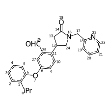 CC(C)c1ccccc1Oc1ccc(C2CC(=O)N(Cc3ccccn3)C2)c(C=O)c1